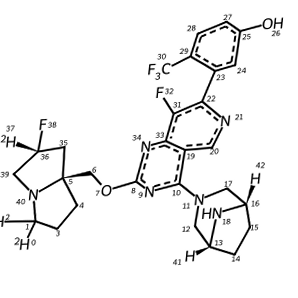 [2H]C1([2H])CC[C@@]2(COc3nc(N4C[C@H]5CC[C@@H](C4)N5)c4cnc(-c5cc(O)ccc5C(F)(F)F)c(F)c4n3)C[C@@]([2H])(F)CN12